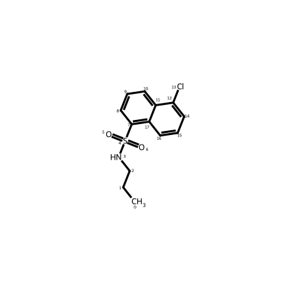 CCCNS(=O)(=O)c1cccc2c(Cl)cccc12